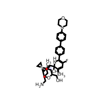 CC1=CC(F)=C(c2ccc(-c3ccc(N4CCOCC4)cc3)cc2)NC1(C)/C=C(\CCCN)S12(=C3COC(CO)C[C@@]31C)CC2